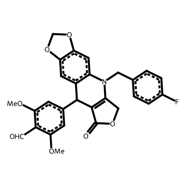 COc1cc(C2C3=C(COC3=O)N(Cc3ccc(F)cc3)c3cc4c(cc32)OCO4)cc(OC)c1C=O